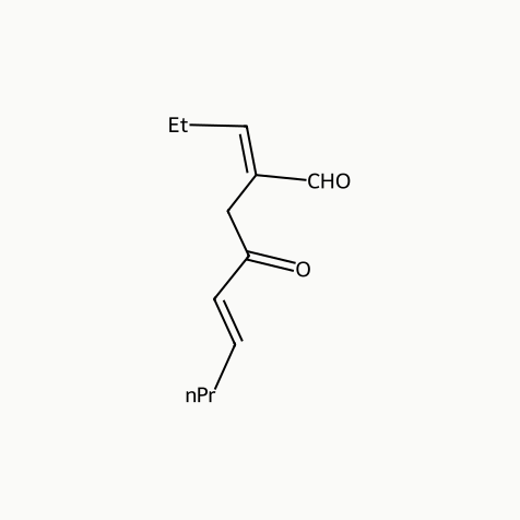 CCC=C(C=O)CC(=O)C=CCCC